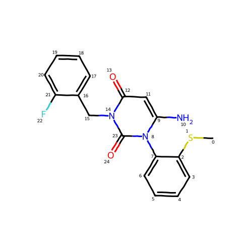 CSc1ccccc1-n1c(N)cc(=O)n(Cc2ccccc2F)c1=O